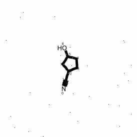 N#CC1CCC(O)C1